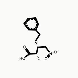 C[C@H](C(=O)O)[C@H](CCc1ccccc1)C[N+](=O)[O-]